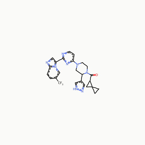 O=C(C1CC12CC2)N1CCN(c2ccnc(-c3cnc4ccc(C(F)(F)F)cn34)n2)CC1c1cn[nH]c1